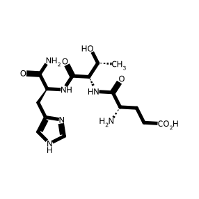 C[C@@H](O)[C@H](NC(=O)[C@@H](N)CCC(=O)O)C(=O)N[C@@H](Cc1c[nH]cn1)C(N)=O